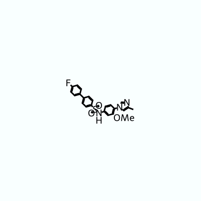 COc1cc(NS(=O)(=O)c2ccc(-c3ccc(F)cc3)cc2)ccc1-n1cnc(C)c1